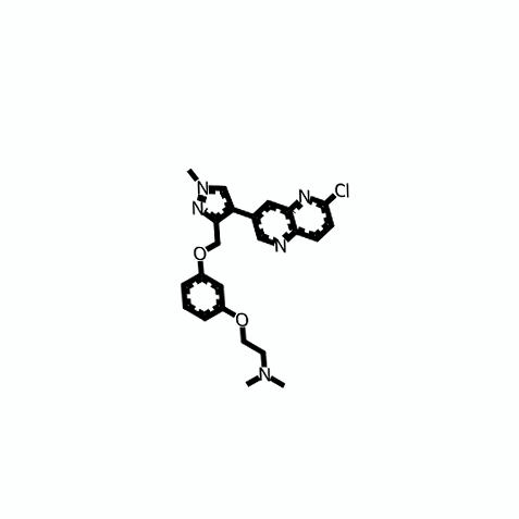 CN(C)CCOc1cccc(OCc2nn(C)cc2-c2cnc3ccc(Cl)nc3c2)c1